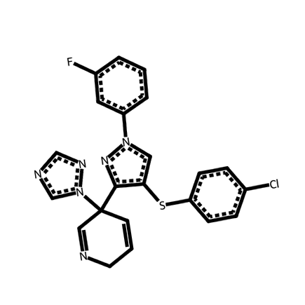 Fc1cccc(-n2cc(Sc3ccc(Cl)cc3)c(C3(n4cncn4)C=CCN=C3)n2)c1